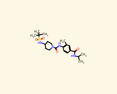 Cc1cc(C(=O)NC(C)C)ccc1NC(=O)N1CCC(NS(=O)(=O)C(C)(C)C)CC1